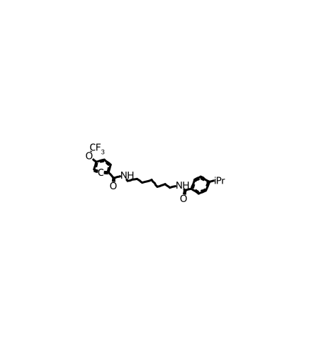 CC(C)c1ccc(C(=O)NCCCCCCCNC(=O)c2ccc(OC(F)(F)F)cc2)cc1